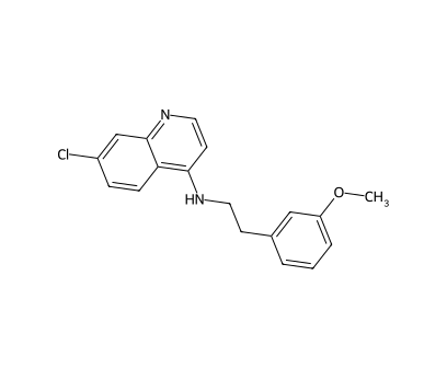 COc1cccc(CCNc2ccnc3cc(Cl)ccc23)c1